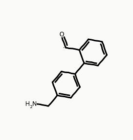 NCc1ccc(-c2ccccc2[C]=O)cc1